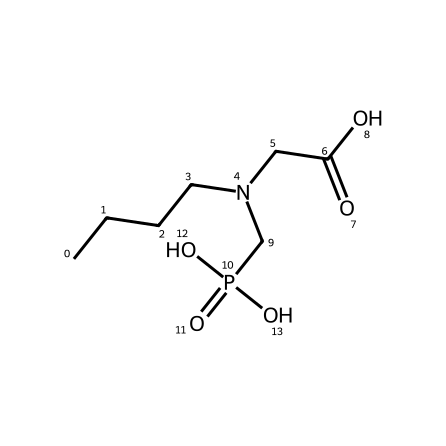 CCCCN(CC(=O)O)CP(=O)(O)O